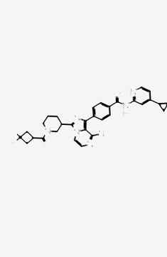 Nc1nccn2c(C3CCCN(C(=O)C4CC(F)(F)C4)C3)nc(-c3ccc(C(=O)Nc4cc(C5CC5)ccn4)cc3)c12